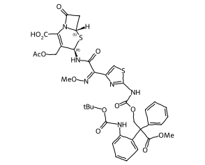 CON=C(C(=O)N[C@@H]1S[C@H]2CC(=O)N2C(C(=O)O)=C1COC(C)=O)c1csc(NC(=O)OCC(C(=O)OC)(c2ccccc2)c2ccccc2NC(=O)OC(C)(C)C)n1